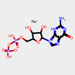 Nc1nc(=O)c2ncn(C3OC(COP(=O)(O)OP(=O)([O-])O)C(O)C3O)c2[nH]1.[Na+]